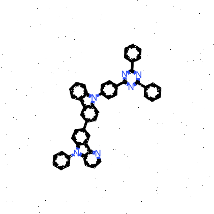 c1ccc(-c2nc(-c3ccccc3)nc(-c3ccc(-n4c5ccccc5c5cc(-c6ccc7c(c6)c6ncccc6n7-c6ccccc6)ccc54)cc3)n2)cc1